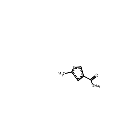 CNC(=O)c1csc(C)c1